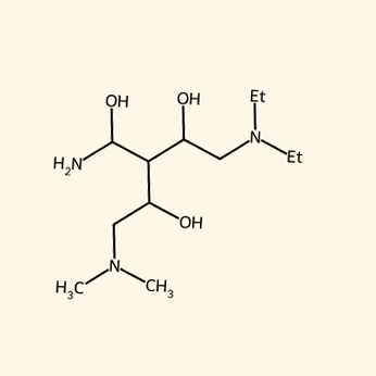 CCN(CC)CC(O)C(C(N)O)C(O)CN(C)C